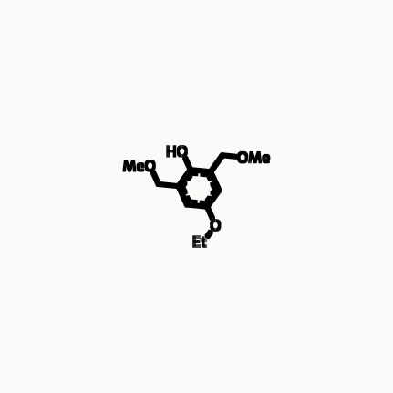 CCOc1cc(COC)c(O)c(COC)c1